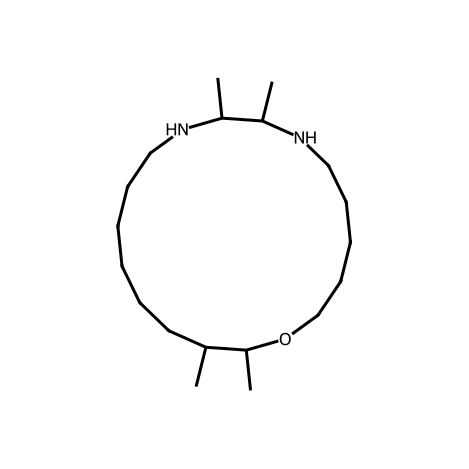 CC1CCCCCCNC(C)C(C)NCCCCCOC1C